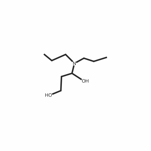 CCCN(CCC)C(O)CCO